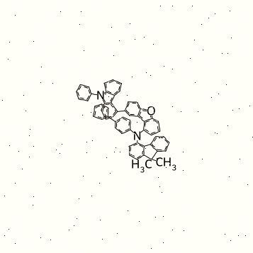 CC1(C)c2ccccc2-c2c(N(c3ccc(-c4ccccc4)cc3)c3cccc4oc5ccc(-c6cccc7c6c6ccccc6n7-c6ccccc6)cc5c34)cccc21